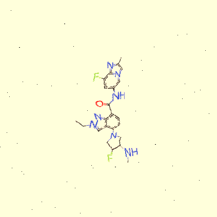 CCn1cc2c(N3C[C@H](NC)[C@@H](F)C3)ccc(C(=O)Nc3cc(F)c4nc(C)cn4c3)c2n1